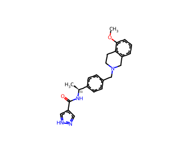 COc1cccc2c1CCN(Cc1ccc([C@H](C)NC(=O)c3cn[nH]c3)cc1)C2